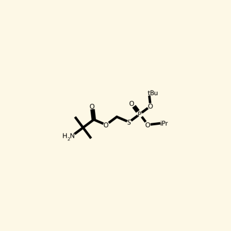 CC(C)OP(=O)(OC(C)(C)C)SCOC(=O)C(C)(C)N